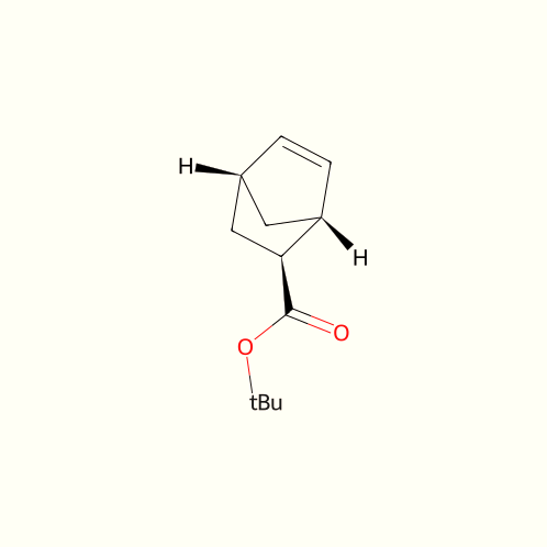 CC(C)(C)OC(=O)[C@H]1C[C@@H]2C=C[C@H]1C2